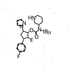 CC(C)(C)N(C(=O)OC1C(F)C(c2ccc(F)cc2)CC1n1cccn1)C1CCCNC1